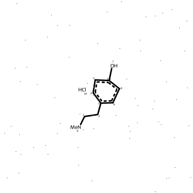 CNCCc1ccc(O)cc1.Cl